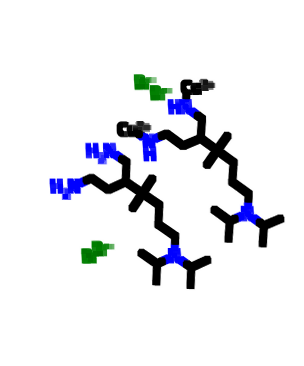 CC(C)N(CCCC(C)(C)C(CC[NH][Cu+2])C[NH][Cu+2])C(C)C.CC(C)N(CCCC(C)(C)C(CN)CCN)C(C)C.[Br-].[Br-].[Br-].[Br-]